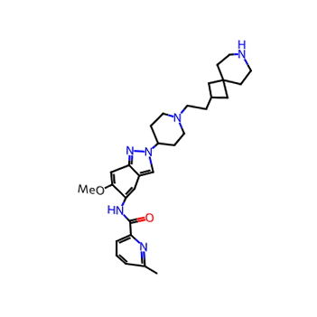 COc1cc2nn(C3CCN(CCC4CC5(CCNCC5)C4)CC3)cc2cc1NC(=O)c1cccc(C)n1